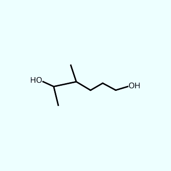 CC(O)C(C)CCCO